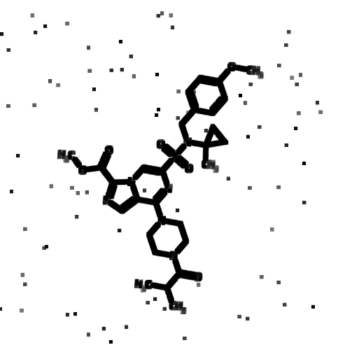 COC(=O)c1ncc2c(N3CCN(C(=O)C(C)C)CC3)nc(S(=O)(=O)N(Cc3ccc(OC)cc3)C3(C)CC3)cn12